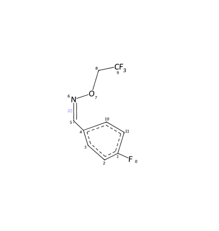 Fc1ccc(/[C]=N\OCC(F)(F)F)cc1